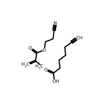 C#CCCCCC(=O)O.C=C(C)C(=O)OCCC#N